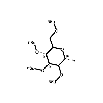 CCCCOCC1O[C@H](C)C(OCCCC)[C@@H](OCCCC)[C@@H]1OCCCC